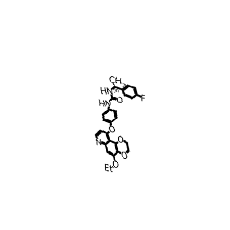 CCOc1cc2nccc(Oc3ccc(NC(=O)N[C@H](C)c4ccc(F)cc4)cc3)c2c2c1OCCO2